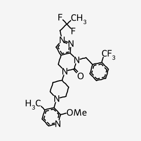 COc1nccc(C)c1N1CCC(N2Cc3cn(CC(C)(F)F)nc3N(Cc3ccccc3C(F)(F)F)C2=O)CC1